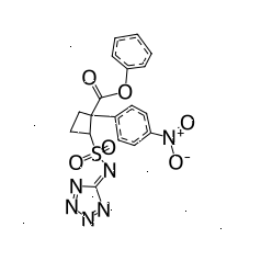 O=C(Oc1ccccc1)C1(c2ccc([N+](=O)[O-])cc2)CCC1S(=O)(=O)N=C1N=NN=N1